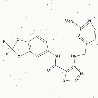 CNc1nccc(CNc2ncsc2C(=O)Nc2ccc3c(c2)OC(F)(F)O3)n1